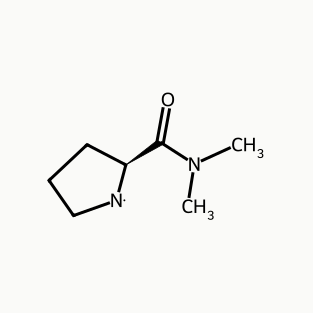 CN(C)C(=O)[C@@H]1CCC[N]1